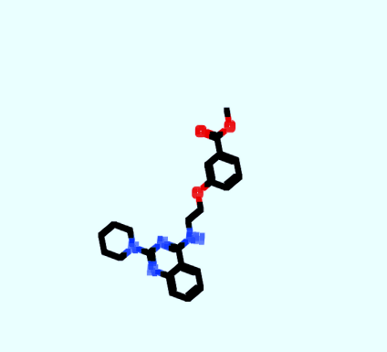 COC(=O)c1cccc(OCCNc2nc(N3CCCCC3)nc3ccccc23)c1